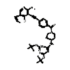 C/C=C\c1cnc(N)c(C#Cc2ccc(C(=O)N3CCC(N/C(=N/C(=O)OC(C)(C)C)NC(=O)OC(C)(C)C)CC3)cc2)c1Cl